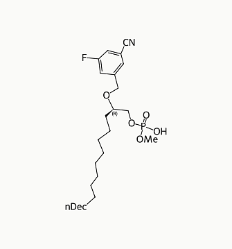 CCCCCCCCCCCCCCCCCC[C@H](COP(=O)(O)OC)OCc1cc(F)cc(C#N)c1